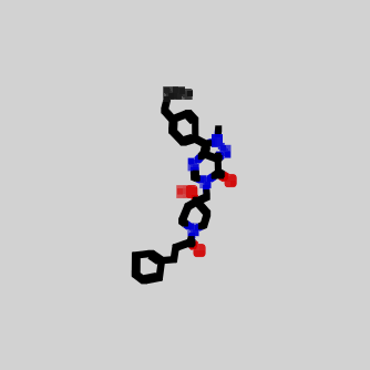 CNCc1ccc(-c2c3ncn(CC4(O)CCN(C(=O)CCc5ccccc5)CC4)c(=O)c3nn2C)cc1